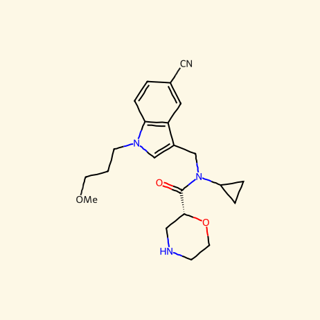 COCCCn1cc(CN(C(=O)[C@H]2CNCCO2)C2CC2)c2cc(C#N)ccc21